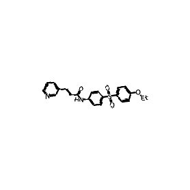 CCOc1ccc(S(=O)(=O)c2ccc(NC(=O)C=Cc3cccnc3)cc2)cc1